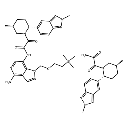 C[C@H]1CC[C@H](c2ccc3nn(C)cc3c2)N(C(=O)C(=O)Nc2cnc(N)c3cnn(COCC[Si](C)(C)C)c23)C1.C[C@H]1CC[C@H](c2ccc3nn(C)cc3c2)N(C(=O)C(N)=O)C1